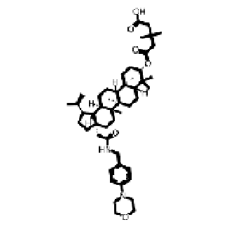 C=C(C)[C@@H]1CC[C@]2(CC(=O)NCc3ccc(N4CCOCC4)cc3)CC[C@]3(C)[C@H](CC[C@@H]4[C@@]5(C)CC[C@H](OC(=O)CC(C)(C)CC(=O)O)C(C)(C)[C@@H]5CC[C@]43C)[C@@H]12